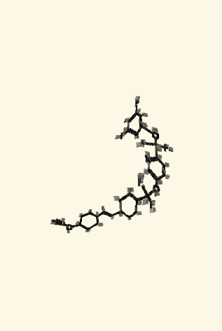 CCCCOC1CCC(/C=C/C2CCC(C(F)(F)Oc3ccc(C(F)(F)Oc4cc(F)cc(F)c4)nc3)CC2)CC1